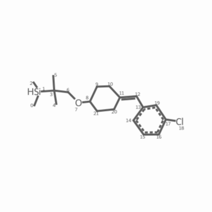 C[SiH](C)C(C)(C)COC1CCC(=Cc2cccc(Cl)c2)CC1